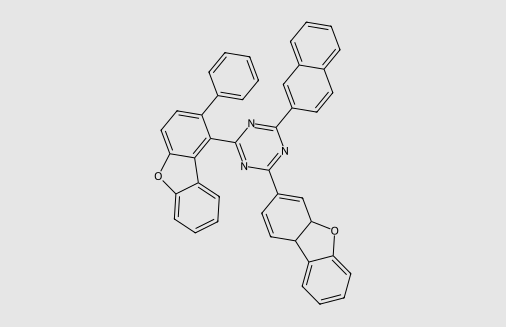 C1=CC2c3ccccc3OC2C=C1c1nc(-c2ccc3ccccc3c2)nc(-c2c(-c3ccccc3)ccc3oc4ccccc4c23)n1